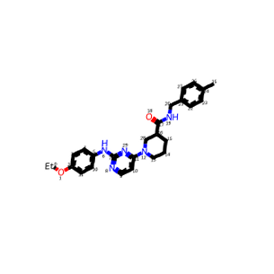 CCOc1ccc(Nc2nccc(N3CCCC(C(=O)NCc4ccc(C)cc4)C3)n2)cc1